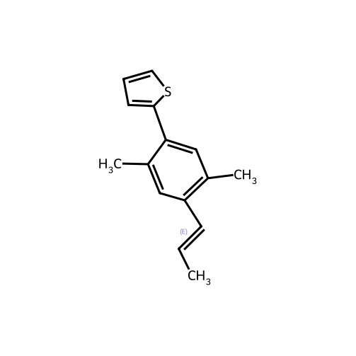 C/C=C/c1cc(C)c(-c2cccs2)cc1C